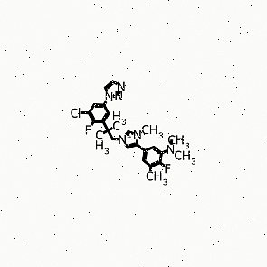 Cc1cc(-c2c[n+](CC(C)(C)c3cc(-n4ccnn4)cc(Cl)c3F)cn2C)cc(N(C)C)c1F